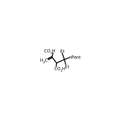 C=C(C(=O)O)C(C(=O)O)C(CC)(CC)CCCCC